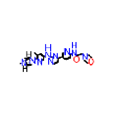 Cc1cc(Nc2nccc(-c3ccc(NC(=O)CN4CCOCC4)nc3)n2)cnc1N1C[C@@H]2C[C@H]1CN2C